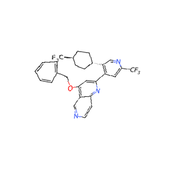 FC(F)(F)c1cc(-c2cc(OCc3ccccc3)c3cnccc3n2)c([C@H]2CC[C@H](C(F)(F)F)CC2)cn1